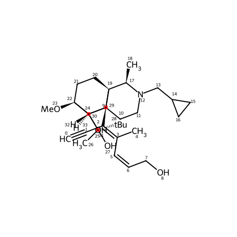 C#C/C(=C(C)\C=C/CO)[C@]12CCN(CC3CC3)[C@H](C)[C@]13CC[C@@](OC)([C@@H]([C@](C)(O)C(C)(C)C)C3)[C@@H]2O